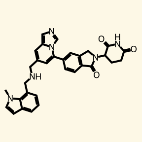 Cn1ccc2cccc(CNCc3cc(-c4ccc5c(c4)CN(C4CCC(=O)NC4=O)C5=O)n4cncc4c3)c21